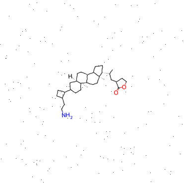 CC(CC1CCOC1=O)[C@H]1CCC2C3CC[C@@H]4CC(C5CCC5CCN)CC[C@]4(C)C3CC[C@@]21C